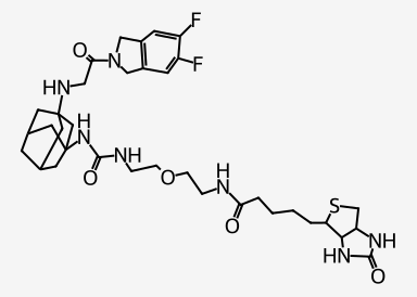 O=C(CCCCC1SCC2NC(=O)NC21)NCCOCCNC(=O)NC12CC3CC(CC(NCC(=O)N4Cc5cc(F)c(F)cc5C4)(C3)C1)C2